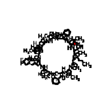 CCCCN1CC(=O)N(C)[C@@H](CC(C)C)C(=O)N[C@H](C(=O)N2CCCCC2)CC(=O)N(C)[C@@H](C)C(=O)N[C@@H](CCC[C@@H]2CC(F)(F)CN2)C(=O)N(C)[C@@H](CC(C)C)C(=O)N(C)[C@@H](C)C(=O)N[C@@H](C(C)C)C(=O)N(C)[C@@H](Cc2ccccc2)C(=O)N(C)[C@@H](CC(C)C)C(=O)N[C@@H]([C@@H](C)O)C1=O